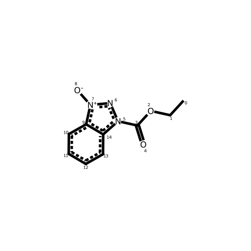 CCOC(=O)n1n[n+]([O-])c2ccccc21